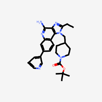 CCc1nc2c(N)nc3cc(-c4cccnc4)ccc3c2n1CC1CCN(C(=O)OC(C)(C)C)CC1